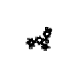 O=C(C1CCS(=O)(=O)CC1)N1CCN(c2cccc(Cl)c2)CC1c1cccs1